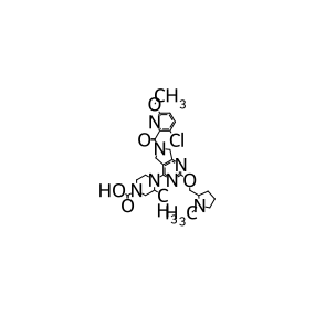 COc1ccc(Cl)c(C(=O)N2Cc3nc(OCC4CCCN4C)nc(N4CCN(C(=O)O)CC4C)c3C2)n1